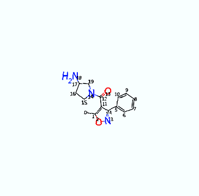 Cc1onc(-c2ccccc2)c1C(=O)N1CCC(N)C1